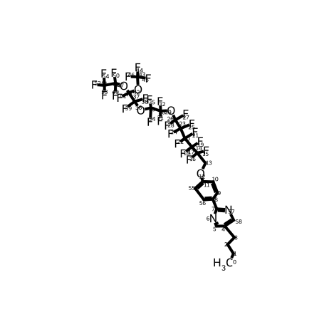 CCCCc1cnc(-c2ccc(OCC(F)(F)C(F)(F)C(F)(F)C(F)(F)C(F)(F)OC(F)(F)C(F)(F)OC(F)(F)C(F)(OC(F)(F)F)OC(F)(F)C(F)(F)F)cc2)nc1